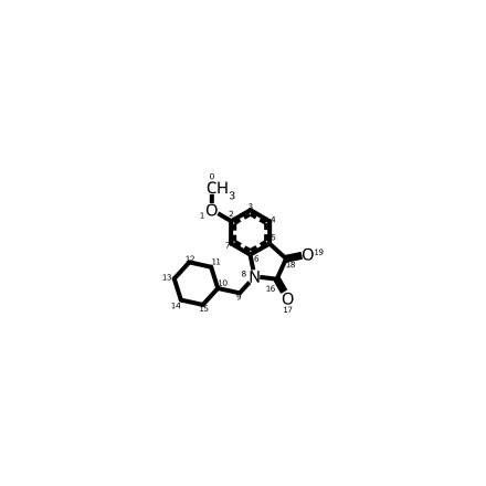 COc1ccc2c(c1)N(CC1CCCCC1)C(=O)C2=O